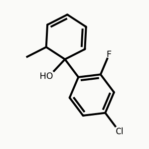 CC1C=CC=CC1(O)c1ccc(Cl)cc1F